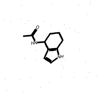 CC(=O)NC1CCCc2[nH]ccc21